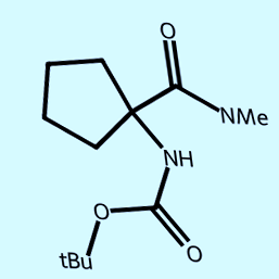 CNC(=O)C1(NC(=O)OC(C)(C)C)CCCC1